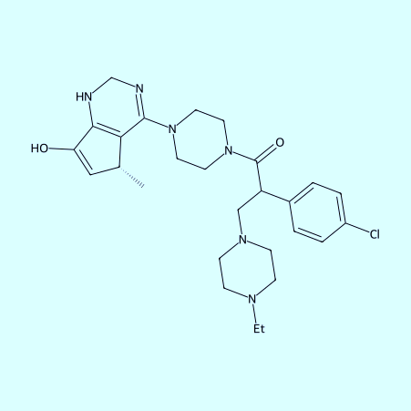 CCN1CCN(CC(C(=O)N2CCN(C3=NCNC4=C3[C@H](C)C=C4O)CC2)c2ccc(Cl)cc2)CC1